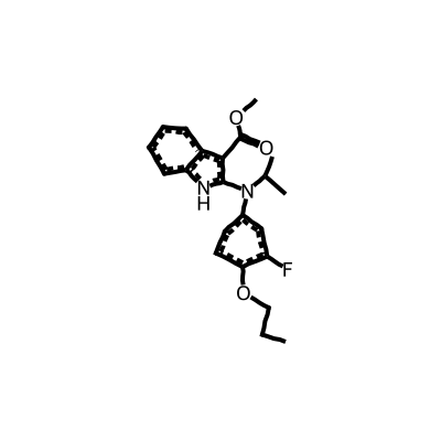 CCCOc1ccc(N(c2[nH]c3ccccc3c2C(=O)OC)C(C)C)cc1F